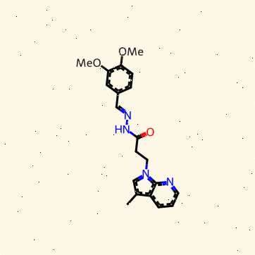 COc1ccc(C=NNC(=O)CCn2cc(C)c3cccnc32)cc1OC